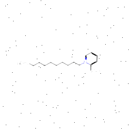 CCCCCCCCCCCCCCCCCCC[n+]1ccccc1CCCCCCCC